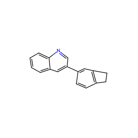 c1ccc2ncc(-c3ccc4c(c3)CC4)cc2c1